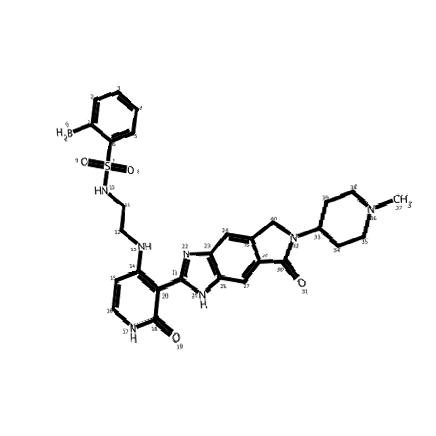 Bc1ccccc1S(=O)(=O)NCCNc1cc[nH]c(=O)c1-c1nc2cc3c(cc2[nH]1)C(=O)N(C1CCN(C)CC1)C3